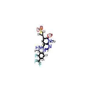 C[C@@H](Nc1ncnc2c1cc(C1CS(=O)(=O)C1)c(=O)n2C)c1cccc(C(F)F)c1F